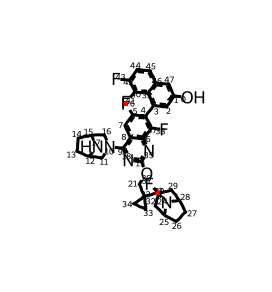 Oc1cc(-c2c(F)cc3c(N4CC5CCC(C4)N5)nc(OCC4(CN5C6CCC5CC(F)C6)CC4)nc3c2F)c2c(F)c(F)ccc2c1